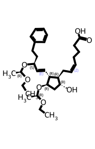 CCO[C@@H](C)O[C@H](/C=C/[C@@H]1[C@@H](C/C=C\CCCC(=O)O)[C@H](O)C[C@H]1O[C@H](C)OCC)CCc1ccccc1